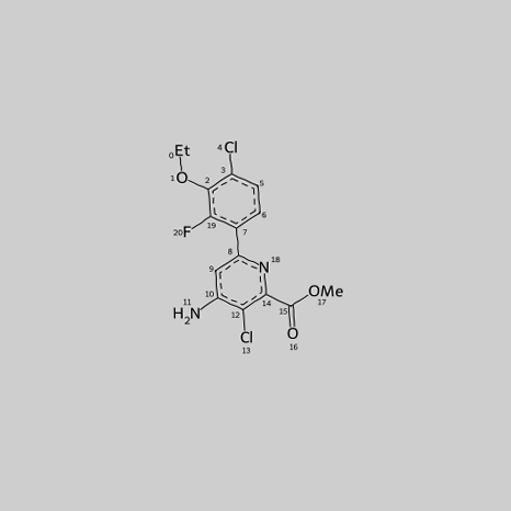 CCOc1c(Cl)ccc(-c2cc(N)c(Cl)c(C(=O)OC)n2)c1F